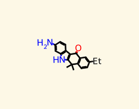 CCc1ccc2c(c1)C(=O)c1c([nH]c3cc(N)ccc13)C2(C)C